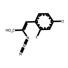 [N-]=[N+]=N/C(=C\c1ccc(Cl)cc1F)C(=O)O